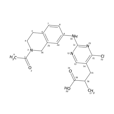 CC(=O)N1CCc2ccc(Nc3ncc(CC(C)C(=O)O)c(Cl)n3)cc2C1